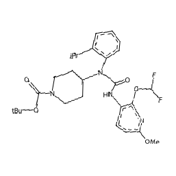 COc1ccc(NC(=O)N(c2ccccc2C(C)C)C2CCN(C(=O)OC(C)(C)C)CC2)c(OC(F)F)n1